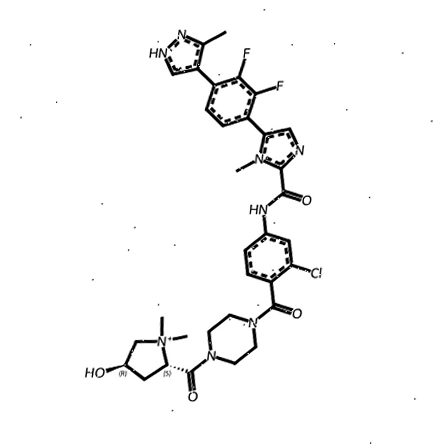 Cc1n[nH]cc1-c1ccc(-c2cnc(C(=O)Nc3ccc(C(=O)N4CCN(C(=O)[C@@H]5C[C@@H](O)C[N+]5(C)C)CC4)c(Cl)c3)n2C)c(F)c1F